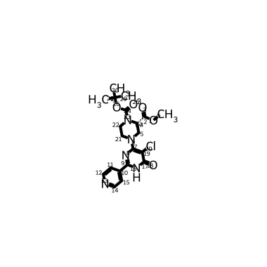 COC(=O)[C@@H]1CN(c2nc(-c3ccncc3)[nH]c(=O)c2Cl)CCN1C(=O)OC(C)(C)C